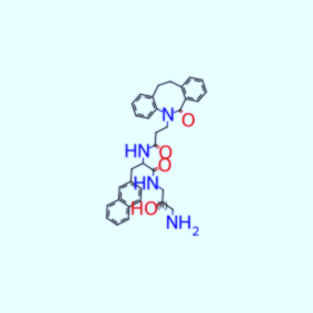 NC[C@@H](O)CNC(=O)C(Cc1ccc2ccccc2c1)NC(=O)CCN1C(=O)c2ccccc2CCc2ccccc21